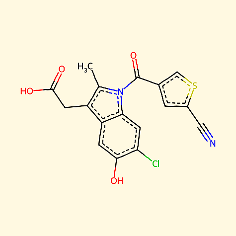 Cc1c(CC(=O)O)c2cc(O)c(Cl)cc2n1C(=O)c1csc(C#N)c1